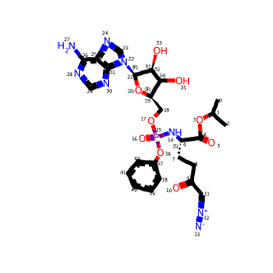 CC(C)OC(=O)[C@H](CCC(=O)C=[N+]=[N-])NP(=O)(OC[C@H]1O[C@@H](n2cnc3c(N)ncnc32)[C@@H](O)C1O)Oc1ccccc1